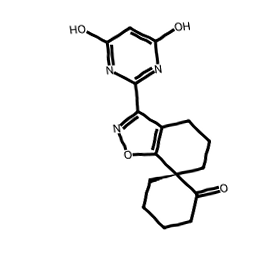 O=C1CCCC[C@@]12CCCc1c(-c3nc(O)cc(O)n3)noc12